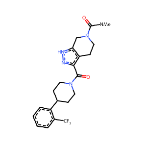 CNC(=O)N1CCc2c(C(=O)N3CCC(c4ccccc4C(F)(F)F)CC3)n[nH]c2C1